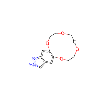 c1[nH]nc2cc3c(cc12)OCCOCCOCCO3